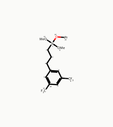 CO[Si](CCCc1cc(C(F)(F)F)cc(C(F)(F)F)c1)(OC)OC(C)C